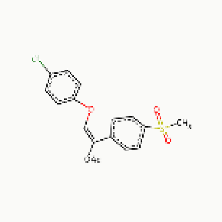 CC(=O)OC(=COc1ccc(Cl)cc1)c1ccc(S(C)(=O)=O)cc1